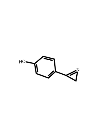 Oc1ccc(C2=NC2)cc1